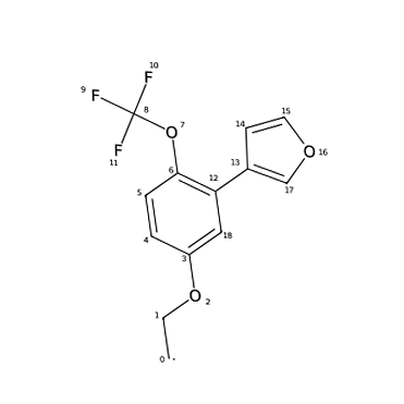 [CH2]COc1ccc(OC(F)(F)F)c(-c2ccoc2)c1